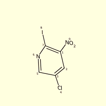 O=[N+]([O-])c1cc(Cl)cnc1I